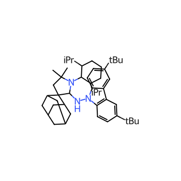 CC(C)C1CCCC(C(C)C)C1N1C(Nn2c3ccc(C(C)(C)C)cc3c3cc(C(C)(C)C)ccc32)C2(CC1(C)C)C1CC3CC(C1)CC2C3